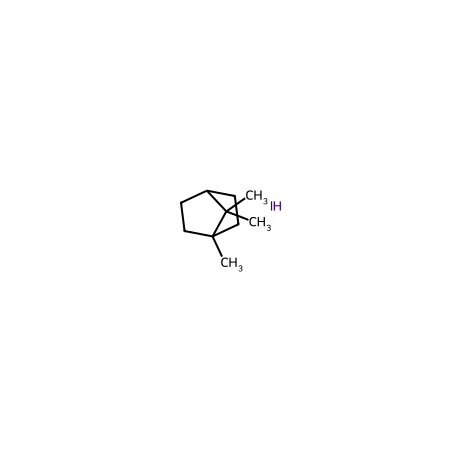 CC12CCC(CC1)C2(C)C.I